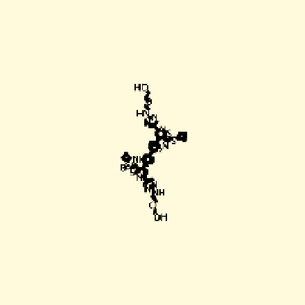 Nc1c(SC2CCC2)sc2nc(-c3cnc(NCCOCCO)nc3)cc(-c3ccc(-c4ccc(-c5cc(-c6cnc(NCCOCCO)nc6)nc6sc([S@@+]([O-])C7CCC7)c(N)c56)cc4)cc3)c12